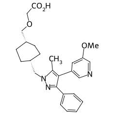 COc1cncc(-c2c(-c3ccccc3)nn(C[C@H]3CC[C@@H](COCC(=O)O)CC3)c2C)c1